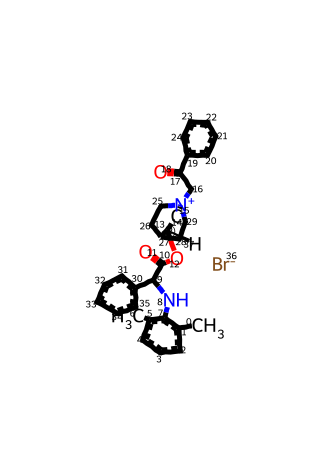 Cc1cccc(C)c1NC(C(=O)O[C@H]1C[N+]2(CC(=O)c3ccccc3)CCC1CC2)c1ccccc1.[Br-]